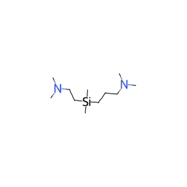 CN(C)CCC[Si](C)(C)CCN(C)C